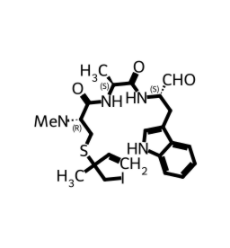 C=CC(C)(CI)SC[C@H](NC)C(=O)N[C@@H](C)C(=O)N[C@H](C=O)Cc1c[nH]c2ccccc12